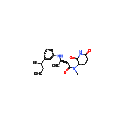 CCC(CC=O)c1cccc(N/C(C=O)=C/C(=O)N(C)C2CCC(=O)NC2=O)c1